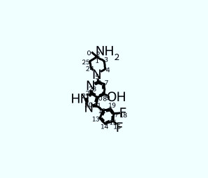 CC1(N)CCN(c2cc(O)c3c(-c4ccc(F)c(F)c4)n[nH]c3n2)CC1